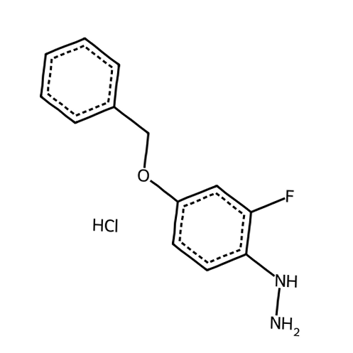 Cl.NNc1ccc(OCc2ccccc2)cc1F